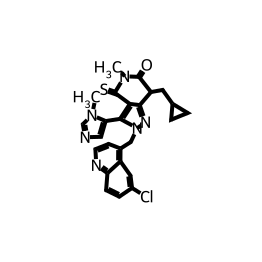 CN1C(=O)C(CC2CC2)c2nn(Cc3ccnc4ccc(Cl)cc34)c(-c3cncn3C)c2C1=S